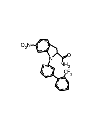 NC(=O)C1Cc2ccc([N+](=O)[O-])cc2N1c1cccc(-c2ccccc2C(F)(F)F)c1